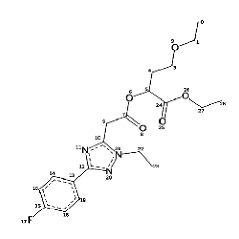 CCOCCC(OC(=O)Cc1nc(-c2ccc(F)cc2)nn1CC)C(=O)OCC